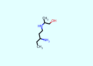 CCC(N)CCNC(C)CO